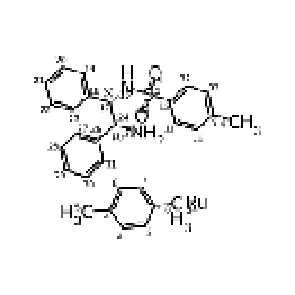 Cc1ccc(C)cc1.Cc1ccc(S(=O)(=O)N[C@@H](c2ccccc2)[C@@H](N)c2ccccc2)cc1.[Ru]